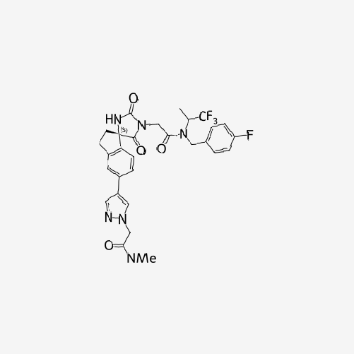 CNC(=O)Cn1cc(-c2ccc3c(c2)CC[C@]32NC(=O)N(CC(=O)N(Cc3ccc(F)cc3)C(C)C(F)(F)F)C2=O)cn1